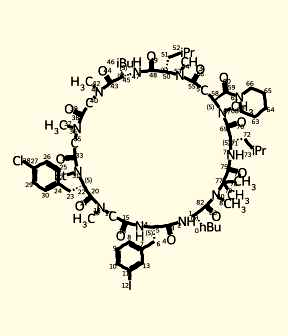 CCCC[C@@H]1NC(=O)[C@H](Cc2cccc(I)c2)NC(=O)CN(C)C(=O)[C@H](Cc2ccc(Cl)cc2)N(CC)C(=O)CN(C)C(=O)CN(C)C(=O)[C@H]([C@@H](C)CC)NC(=O)[C@H](CC(C)C)N(C)C(=O)C[C@@H](C(=O)N2CCCCC2)N(C)C(=O)[C@H](CC(C)C)NC(=O)C(C)(C)N(C)C1=O